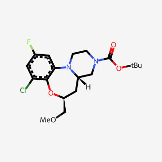 COC[C@@H]1C[C@H]2CN(C(=O)OC(C)(C)C)CCN2c2cc(F)cc(Cl)c2O1